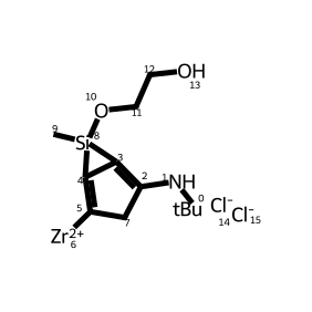 CC(C)(C)NC1=C2C(=[C]([Zr+2])C1)[Si]2(C)OCCO.[Cl-].[Cl-]